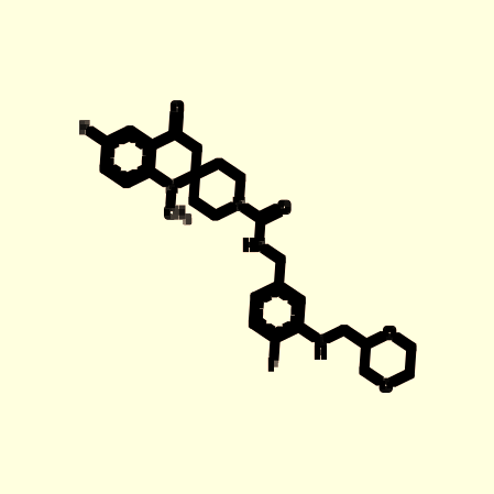 CN1c2ccc(F)cc2C(=O)CC12CCN(C(=O)NCc1ccc(F)c(NCC3COCCO3)c1)CC2